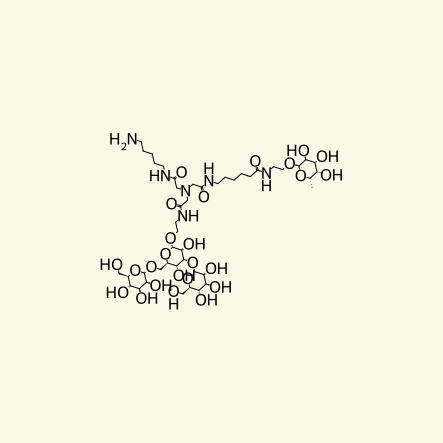 C[C@@H]1O[C@@H](OCCNC(=O)CCCCCNC(=O)CN(CC(=O)NCCCCCN)CC(=O)NCCO[C@H]2O[C@H](CO[C@H]3O[C@H](CO)[C@@H](O)[C@H](O)[C@@H]3O)[C@@H](O)[C@H](O[C@H]3O[C@H](CO)[C@@H](O)[C@H](O)[C@@H]3O)[C@@H]2O)[C@@H](O)[C@H](O)[C@@H]1O